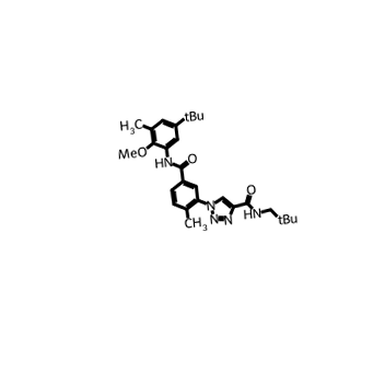 COc1c(C)cc(C(C)(C)C)cc1NC(=O)c1ccc(C)c(-n2cc(C(=O)NCC(C)(C)C)nn2)c1